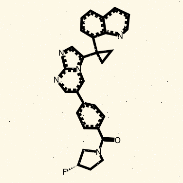 O=C(c1ccc(-c2cnc3ncc(C4(c5cccc6cccnc56)CC4)n3c2)cc1)N1CC[C@H](F)C1